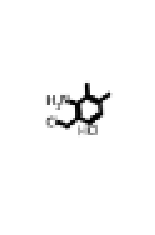 Cc1ccc(CCl)c(N)c1C.Cl